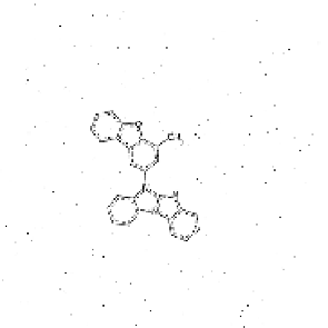 Cc1cc(-n2c3ccccc3n3c4ccccc4nc23)cc2c1oc1ccccc12